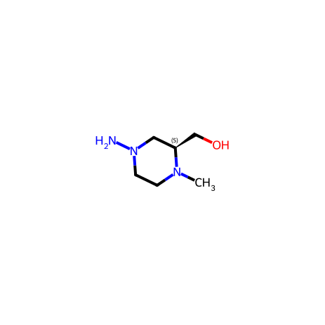 CN1CCN(N)C[C@H]1CO